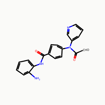 Nc1ccccc1NC(=O)c1ccc(N(C(=O)C=O)c2cccnc2)cc1